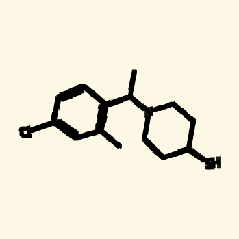 Cc1cc(Cl)ccc1C(C)N1CCC(S)CC1